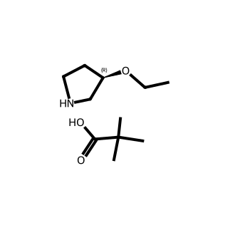 CC(C)(C)C(=O)O.CCO[C@@H]1CCNC1